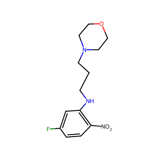 O=[N+]([O-])c1ccc(F)cc1NCCCN1CCOCC1